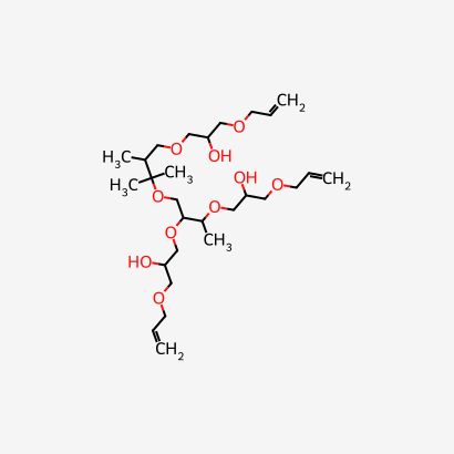 C=CCOCC(O)COCC(C)C(C)(C)OCC(OCC(O)COCC=C)C(C)OCC(O)COCC=C